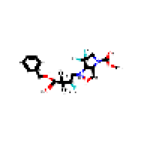 CC(C)(C)OC(=O)N1CC(F)(F)C2C1CON2C[C@@H](F)C(C)(C)C(=O)OCc1ccccc1